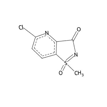 CS1(=O)=NC(=O)c2nc(Cl)ccc21